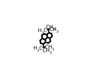 CC(C)(C)c1ccc2ccc3c(C(C)(C)C)ccc4ccc1c2c43